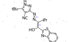 [C-]#[N+]c1c(/N=N/C(=C(\O)c2nc3ccccc3s2)C(C)C)n[nH]c1C(C)(C)C